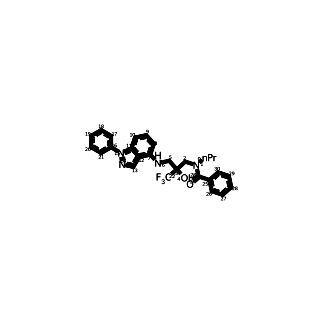 CCCN(CC(O)(CNc1cccc2c1cnn2-c1ccccc1)C(F)(F)F)C(=O)c1ccccc1